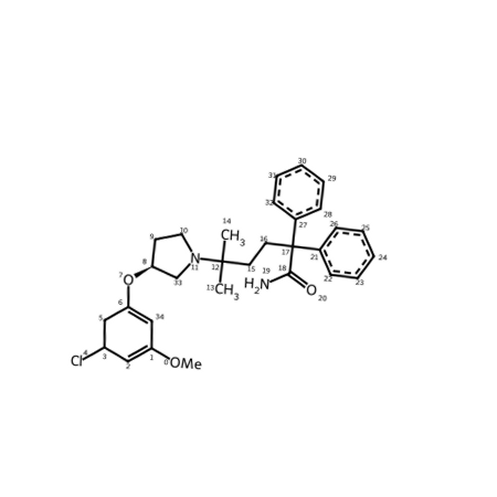 COC1=CC(Cl)CC(O[C@H]2CCN(C(C)(C)CCC(C(N)=O)(c3ccccc3)c3ccccc3)C2)=C1